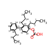 CCCCc1c(OC(=O)O)ccc(-c2ccccc2CCC)c1CCCC